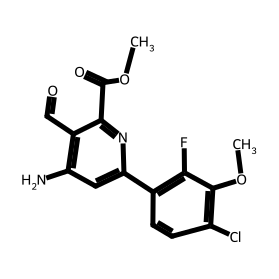 COC(=O)c1nc(-c2ccc(Cl)c(OC)c2F)cc(N)c1C=O